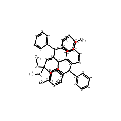 COC1=C(OC)C(OC)(OC)C=C(P(c2ccccc2)c2ccccc2)C1c1c(P(c2ccccc2)c2ccccc2)ccc(OC)c1OC